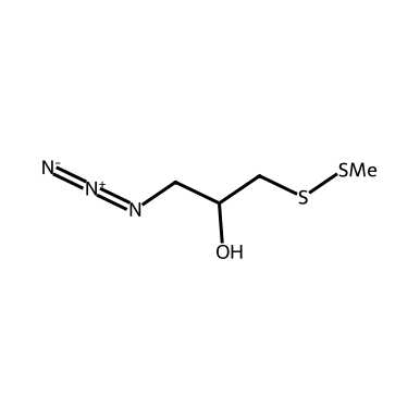 CSSCC(O)CN=[N+]=[N-]